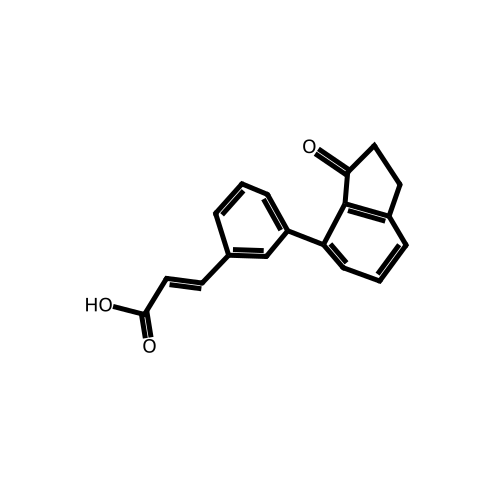 O=C(O)C=Cc1cccc(-c2cccc3c2C(=O)CC3)c1